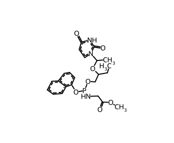 CCC(COP(NCC(=O)OC)Oc1cccc2ccccc12)OC(C)n1ccc(=O)[nH]c1=O